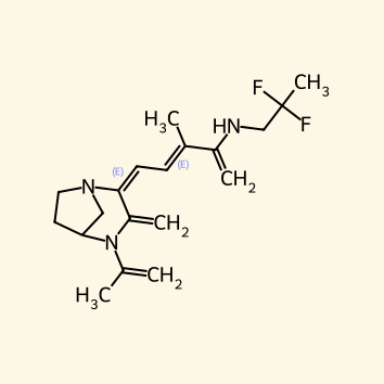 C=C(NCC(C)(F)F)/C(C)=C/C=C1\C(=C)N(C(=C)C)C2CCN1C2